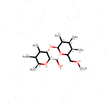 CC(=O)NC1C(OC(C)=O)[C@H](O[C@@H]2OC(COS(=O)(=O)O)[C@H](OC(C)=O)[C@H](OC(C)=O)C2OC(C)=O)[C@H](CO)O[C@H]1OC(C)=O